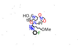 COCCCCc1c(C(=O)N(CC(C)C)[C@H]2C[C@@H](C(=O)N3CCOCC3)CN(C(=O)O)C2C(C)(C)C)nnn1-c1cccc(F)c1